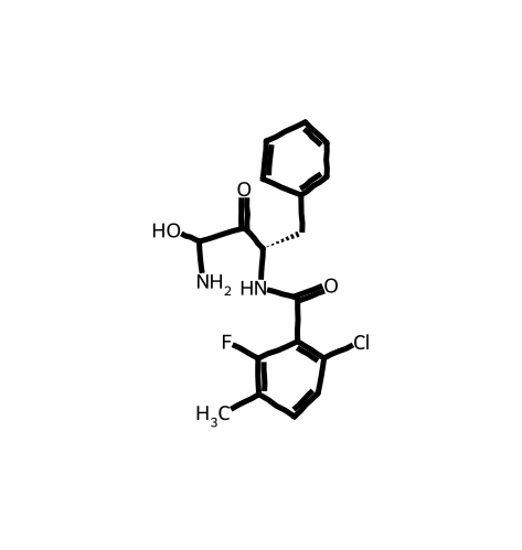 Cc1ccc(Cl)c(C(=O)N[C@@H](Cc2ccccc2)C(=O)C(N)O)c1F